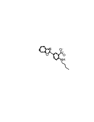 CCCCNc1ccc(-c2nc3ccccc3o2)cc1[N+](=O)[O-]